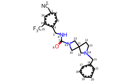 N#Cc1ccc(CNC(=O)N2CC3(CCN(Cc4ccccc4)C3)C2)c(C(F)(F)F)c1